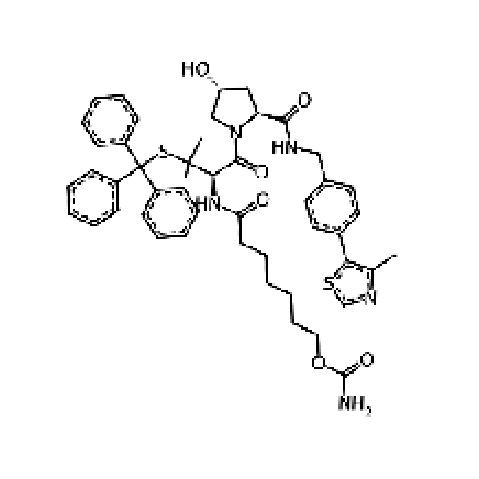 Cc1ncsc1-c1ccc(CNC(=O)[C@@H]2C[C@@H](O)CN2C(=O)[C@@H](NC(=O)CCCCCCOC(N)=O)C(C)(C)SC(c2ccccc2)(c2ccccc2)c2ccccc2)cc1